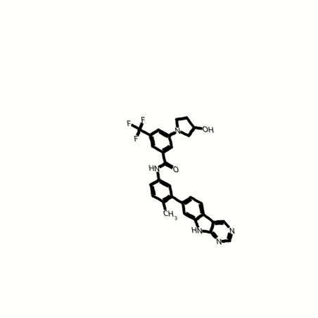 Cc1ccc(NC(=O)c2cc(N3CCC(O)C3)cc(C(F)(F)F)c2)cc1-c1ccc2c(c1)[nH]c1ncncc12